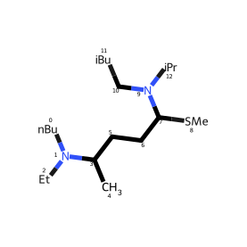 CCCCN(CC)C(C)CCC(SC)N(CC(C)CC)C(C)C